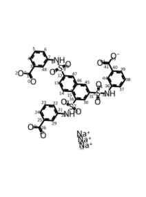 O=C([O-])c1cccc(NS(=O)(=O)c2ccc3c(S(=O)(=O)Nc4cccc(C(=O)[O-])c4)cc(S(=O)(=O)Nc4cccc(C(=O)[O-])c4)cc3c2)c1.[Na+].[Na+].[Na+]